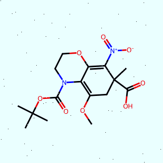 COC1=C2C(=C([N+](=O)[O-])C(C)(C(=O)O)C1)OCCN2C(=O)OC(C)(C)C